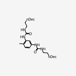 CCCCCCCCCCCCNC(=O)Nc1ccc(C)c(NC(=O)NCCCCCCCCCCCC)c1